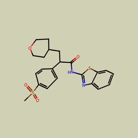 CS(=O)(=O)c1ccc(C(CC2CCOCC2)C(=O)Nc2nc3ccccc3s2)cc1